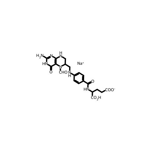 Nc1nc2c(c(=O)[nH]1)N(C=O)C(CNc1ccc(C(=O)NC(CCC(=O)[O-])C(=O)O)cc1)CN2.[Na+]